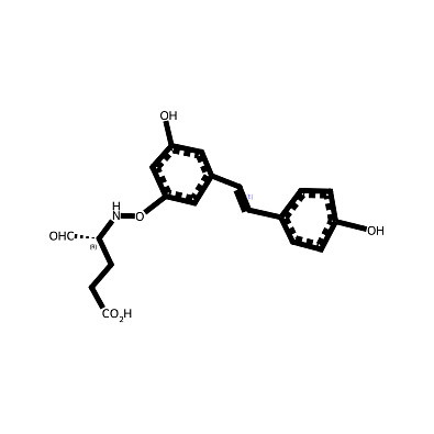 O=C[C@@H](CCC(=O)O)NOc1cc(O)cc(/C=C/c2ccc(O)cc2)c1